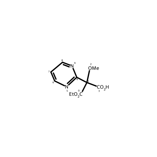 CCOC(=O)C(OC)(C(=O)O)c1ncccn1